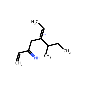 C=CC(=N)C/C(=C\C)C(C)CC